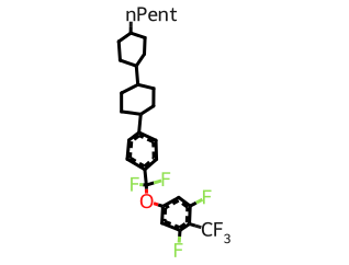 CCCCCC1CCC(C2CCC(c3ccc(C(F)(F)Oc4cc(F)c(C(F)(F)F)c(F)c4)cc3)CC2)CC1